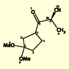 COC1(OC)CCC(C(=O)[C@H](C)C#N)C1